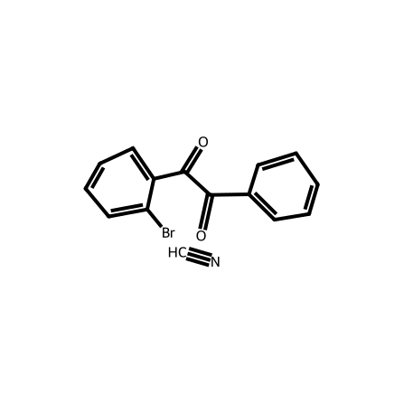 C#N.O=C(C(=O)c1ccccc1Br)c1ccccc1